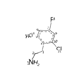 Cl.NCCc1ccc(F)cc1Cl